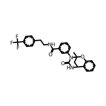 CC12CC(NC(=O)N1c1cccc(C(=O)NCCc3ccc(C(F)(F)F)cc3)c1)c1ccccc1O2